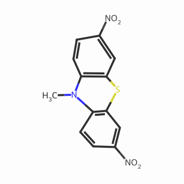 CN1c2ccc([N+](=O)[O-])cc2Sc2cc([N+](=O)[O-])ccc21